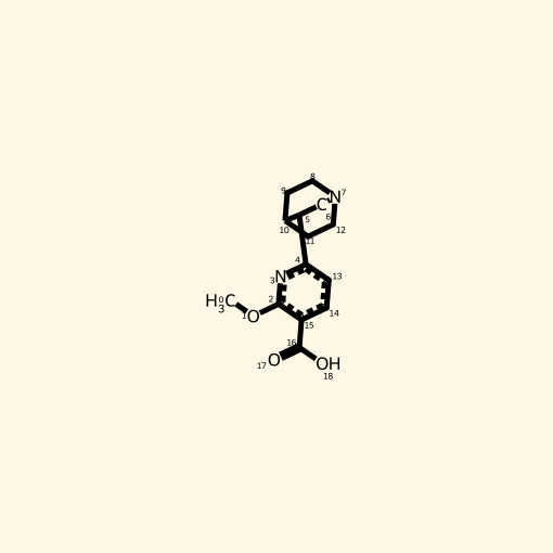 COc1nc(C2CN3CCC2CC3)ccc1C(=O)O